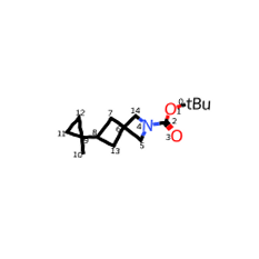 CC(C)(C)OC(=O)N1CC2(CC(C3(C)CC3)C2)C1